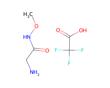 CONC(=O)CN.O=C(O)C(F)(F)F